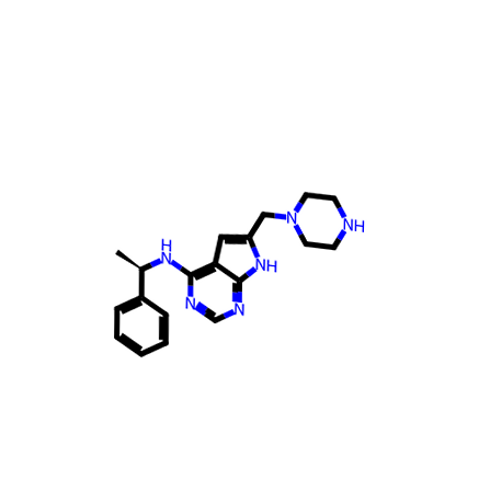 C[C@@H](Nc1ncnc2[nH]c(CN3CCNCC3)cc12)c1ccccc1